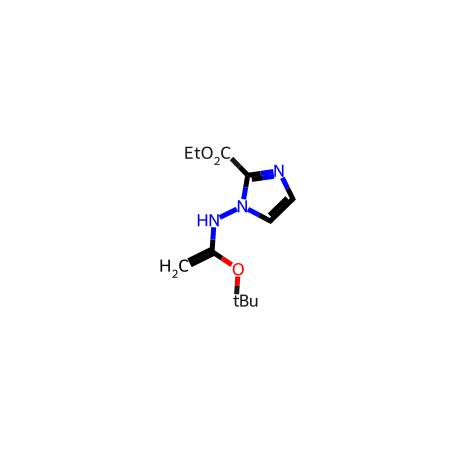 C=C(Nn1ccnc1C(=O)OCC)OC(C)(C)C